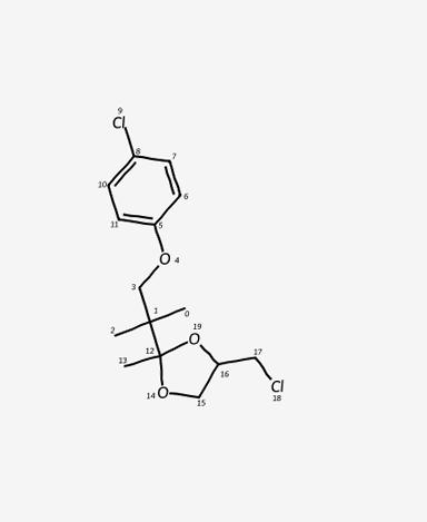 CC(C)(COc1ccc(Cl)cc1)C1(C)OCC(CCl)O1